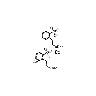 C1CO1.CCCCCCCCCCCCc1ccccc1S(=O)(=O)[O-].CCCCCCCCCCCCc1ccccc1S(=O)(=O)[O-].[Ca+2]